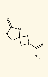 NC(=O)N1CC2(CNC(=O)N2)C1